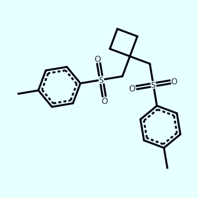 Cc1ccc(S(=O)(=O)CC2(CS(=O)(=O)c3ccc(C)cc3)CCC2)cc1